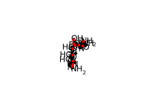 C#C[C@]1(COP(O)(=S)O[C@@H]2[C@H](F)[C@@H](CO)O[C@H]2n2cnc3c(=O)[nH]c(N)nc32)O[C@@H](n2cnc3c(N)ncnc32)[C@H](O)[C@@H]1O